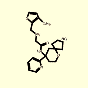 COc1ccsc1CNCC(=O)NC1(c2ccccn2)CCOC2(CCCC2)C1.Cl